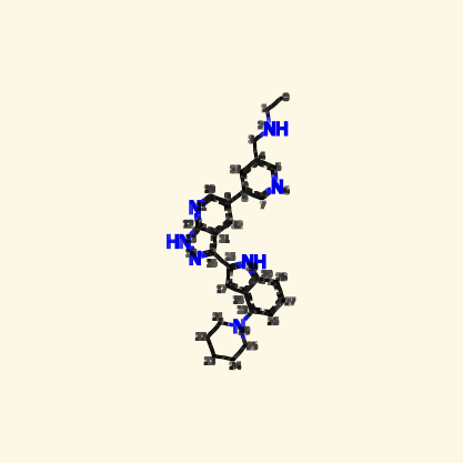 CCNCc1cncc(-c2cnc3[nH]nc(-c4cc5c(N6CCCCC6)cccc5[nH]4)c3c2)c1